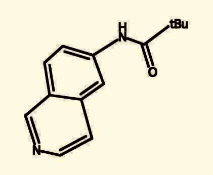 CC(C)(C)C(=O)Nc1ccc2cnccc2c1